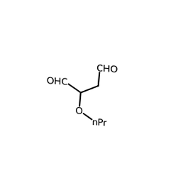 CCCOC(C=O)CC=O